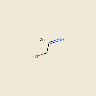 N=CCO.[Zn]